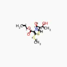 C=CCOC(=O)C1=C(SCC)S[C@@H]2[C@H](C(C)O)C(=O)N12